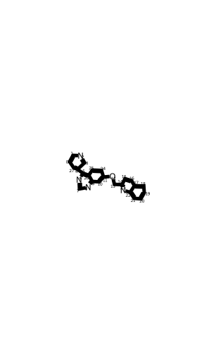 c1cncc(-c2ncnc3cc(OCc4ccc5ccccc5n4)ccc23)c1